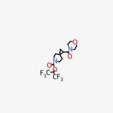 O=C(OC(C(F)(F)F)C(F)(F)F)N1CCC2(CC1)CC2C(=O)N1CCOCC1